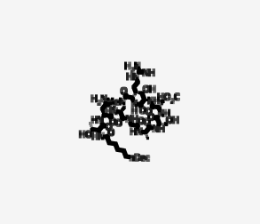 CCCCCCCCCCCCCCCC(=O)N[C@H](C(=O)N[C@@H](CC(N)=O)C(=O)N[C@@H](C)C(=O)NCC(=O)N[C@@H](C)C(=O)N[C@@H](CO)C(=O)N[C@@H](CC(=O)O)C(=O)N[C@H](C(=O)N[C@@H](CCCNC(=N)N)C(=O)NC)[C@@H](C)O)[C@@H](C)O